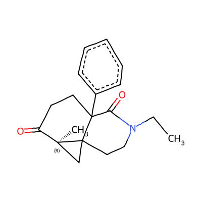 CCN1CCC23C[C@@]2(C)C(=O)CCC3(c2ccccc2)C1=O